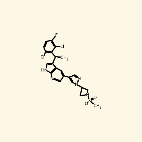 CC(c1c(Cl)ccc(F)c1Cl)c1c[nH]c2ncc(-c3cnn(C4CN(S(C)(=O)=O)C4)c3)cc12